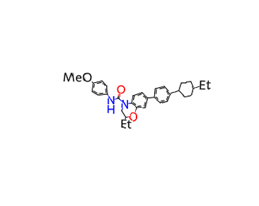 CCC1CCC(c2ccc(-c3ccc4c(c3)OC(CC)CN4C(=O)Nc3ccc(OC)cc3)cc2)CC1